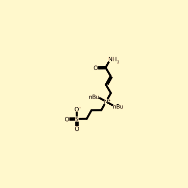 CCCC[N+](CC=CC(N)=O)(CCCC)CCCS(=O)(=O)[O-]